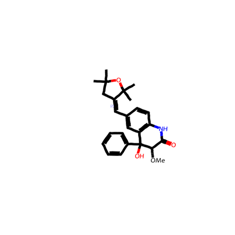 COC1C(=O)Nc2ccc(/C=C3/CC(C)(C)OC3(C)C)cc2C1(O)c1ccccc1